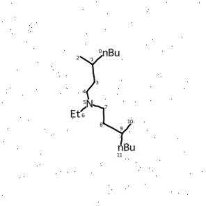 CCCCC(C)CCN(CC)CCC(C)CCCC